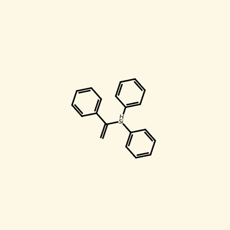 C=C(c1ccccc1)[SiH](c1ccccc1)c1ccccc1